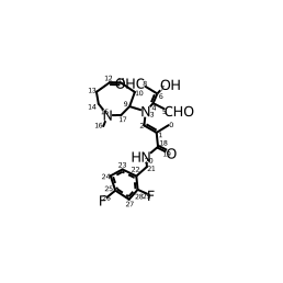 C/C(=C\N(/C(C=O)=C(/O)C=O)C1C/C=C\CCN(C)C1)C(=O)NCc1ccc(F)cc1F